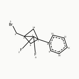 FC1(F)C2(CBr)CC1(c1ccccc1)C2